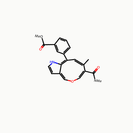 CNC(=O)c1cocc2cc[nH]c2c(-c2cccc(C(=O)OC)c2)cc1C